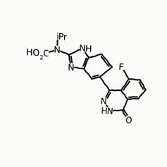 CC(C)N(C(=O)O)c1nc2cc(-c3n[nH]c(=O)c4cccc(F)c34)ccc2[nH]1